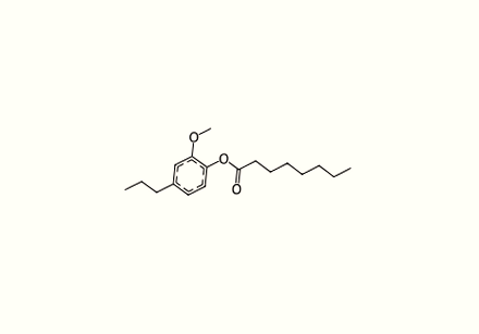 CCCCCCCC(=O)Oc1ccc(CCC)cc1OC